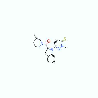 CC1CCCN(C(=O)C2Cc3ccccc3N2c2ccc(=S)n(C)n2)C1